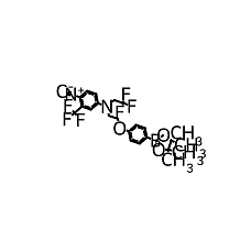 [C-]#[N+]c1ccc(N(CCOc2ccc(B3OC(C)(C)C(C)(C)O3)cc2)CC(F)(F)F)cc1C(F)(F)F